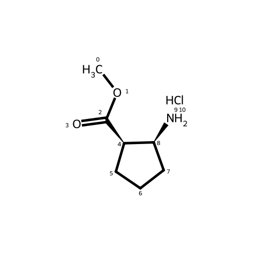 COC(=O)[C@@H]1CCC[C@@H]1N.Cl